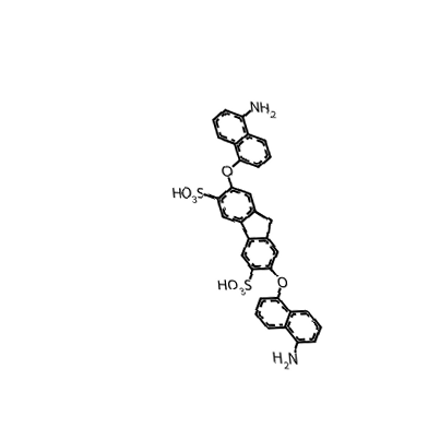 Nc1cccc2c(Oc3cc4c(cc3S(=O)(=O)O)-c3cc(S(=O)(=O)O)c(Oc5cccc6c(N)cccc56)cc3C4)cccc12